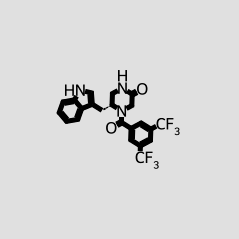 O=C1CN(C(=O)c2cc(C(F)(F)F)cc(C(F)(F)F)c2)[C@H](Cc2c[nH]c3ccccc23)CN1